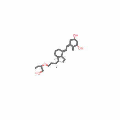 C=C1/C(=C\C=C2CCC[C@@]3(C)C2CC[C@@H]3[C@H](C)CCOC(CC)CO)C[C@@H](O)C[C@H]1O